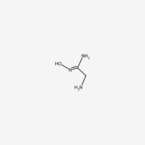 NCC(N)=NO